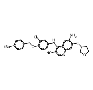 CC(C)(C)c1ccc(COc2ccc(Nc3c(C#N)cnc4cc(OC5CCOC5)c(N)cc34)cc2Cl)cc1